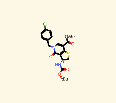 COC(=O)c1cn(Cc2ccc(Cl)cc2)c(=O)c2c1SC[C@@H]2NC(=O)OC(C)(C)C